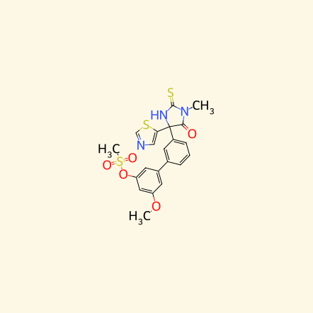 COc1cc(OS(C)(=O)=O)cc(-c2cccc(C3(c4cncs4)NC(=S)N(C)C3=O)c2)c1